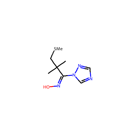 CSCC(C)(C)C(=NO)n1cncn1